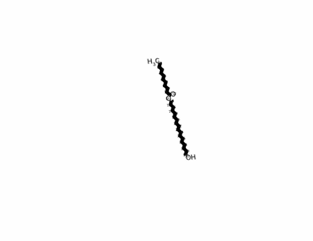 CCCCCCCCCCCC(=O)OCCCCCCCCCCCCCCCCCCO